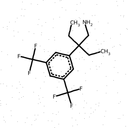 CCC(CC)(CN)c1cc(C(F)(F)F)cc(C(F)(F)F)c1